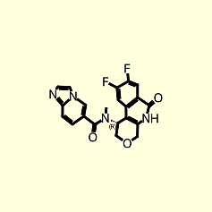 CN(C(=O)c1ccc2nccn2c1)[C@H]1COCc2[nH]c(=O)c3cc(F)c(F)cc3c21